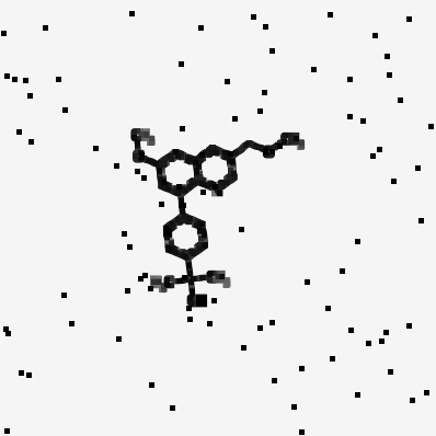 COCc1cnc2c(-c3ccc(C(C)(C)O)cc3)cc(OC)cc2c1